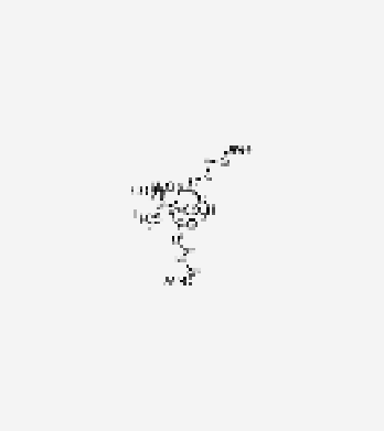 C=C(C(=O)O)C(C(=O)O)(C(C)C(=O)OCCCOC)C(C)C(=O)OCCCOC